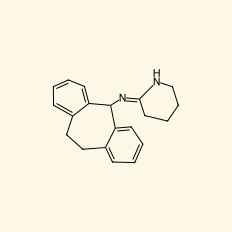 c1ccc2c(c1)CCc1ccccc1C2N=C1CCCCN1